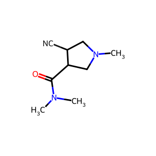 CN1CC(C#N)C(C(=O)N(C)C)C1